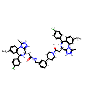 COc1ccc2c(c1)C(c1ccc(Cl)cc1)=N[C@@H](CC(=O)NCc1cccc(C3CCN(C(=O)C[C@H]4N=C(c5ccc(Cl)cc5)c5ccc(OC)cc5-n5c(C)nnc54)CC3)c1)c1nnc(C)n1-2